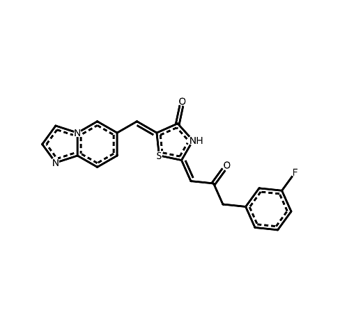 O=C(/C=c1\[nH]c(=O)/c(=C/c2ccc3nccn3c2)s1)Cc1cccc(F)c1